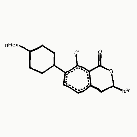 CCCCCCC1CCC(c2ccc3c(c2Cl)C(=O)OC(CCC)C3)CC1